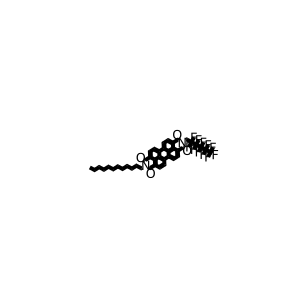 CCCCCCCCCCCCN1C(=O)c2ccc3c4ccc5c6c(ccc(c7ccc(c2c37)C1=O)c64)C(=O)N(CC(F)(F)C(F)(F)C(F)(F)C(F)(F)C(F)(F)F)C5=O